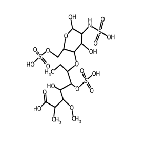 CCC(OC1C(COS(=O)(=O)O)OC(O)C(NS(=O)(=O)O)C1O)C(OS(=O)(=O)O)C(O)C(OC)C(C)C(=O)O